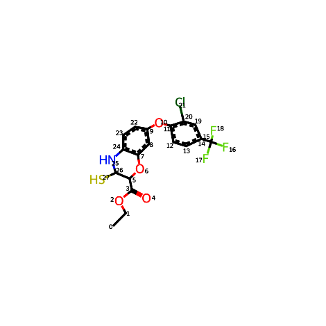 CCOC(=O)C1Oc2cc(Oc3ccc(C(F)(F)F)cc3Cl)ccc2NC1S